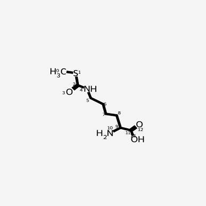 CSC(=O)NCCCCC(N)C(=O)O